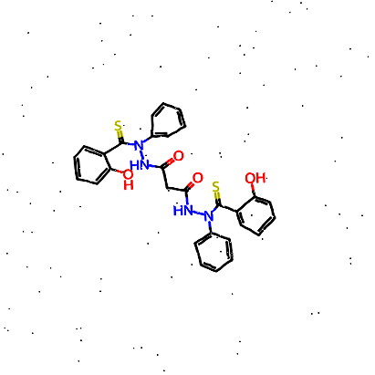 O=C(CC(=O)NN(C(=S)c1ccccc1O)c1ccccc1)NN(C(=S)c1ccccc1O)c1ccccc1